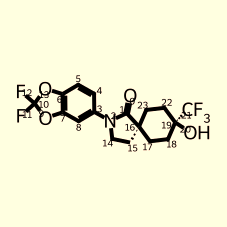 O=C1N(c2ccc3c(c2)OC(F)(F)O3)CC[C@]12CC[C@@](O)(C(F)(F)F)CC2